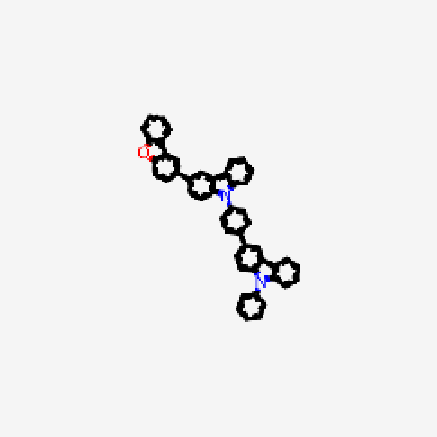 c1ccc(-n2c3ccccc3c3cc(-c4ccc(-n5c6ccccc6c6cc(-c7ccc8oc9ccccc9c8c7)ccc65)cc4)ccc32)cc1